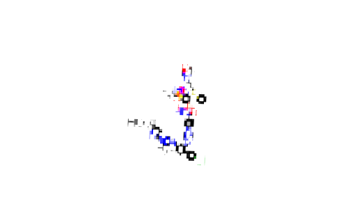 C[C@@]1(CN2CCN(Cc3ccc(C(=O)O)cn3)CC2)CCC(c2ccc(Cl)cc2)=C(CN2CCN(c3ccc(C(=O)NS(=O)(=O)c4ccc(NC(CCN5CCCOCC5)CSc5ccccc5)c(S(=O)(=O)C(F)(F)F)c4)cc3)CC2)C1